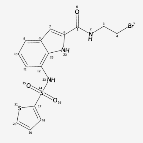 O=C(NCCBr)c1cc2cccc(NS(=O)(=O)c3cccs3)c2[nH]1